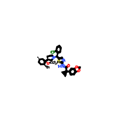 CC(C)[C@H]1CC[C@H](C)C[C@@]1(OC(=O)O)[C@@H]1CCN(C(c2cnc(NC(=O)C3(c4ccc5c(c4)OCO5)CC3)s2)c2ccccc2Cl)C1